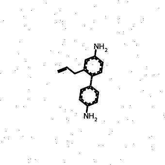 C=CCc1cc(N)ccc1-c1ccc(N)cc1